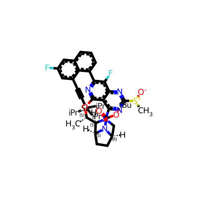 CC(C)[Si](C#Cc1cc(F)cc2cccc(-c3nc4c5c(nc([S+](C)[O-])nc5c3F)N3C[C@H]5CC[C@@H]([C@H]3[C@H](C)O4)N5C(=O)OC(C)(C)C)c12)(C(C)C)C(C)C